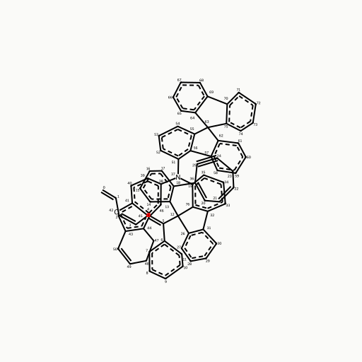 C=C/C=C\C=C(/c1ccccc1)C1(c2ccccc2C2=CC=CCC#C2)c2ccccc2-c2cccc(N(c3ccc4oc5c(c4c3)CCC=C5)c3cccc4c3-c3ccccc3C43c4ccccc4-c4ccccc43)c21